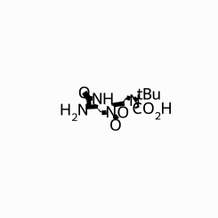 CC(C)(C)N(C[C@H]1CN(C[C@H]2NC(=O)[C@H]2N)C(=O)O1)C(=O)O